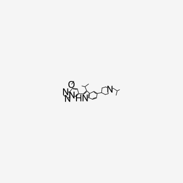 COc1cc(-c2[nH]c3ccc(C4CCN(CC(C)C)CC4)cc3c2C(C)C)cn2ncnc12